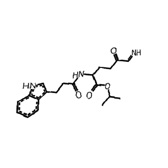 CC(C)OC(=O)C(CCC(=O)C=N)NC(=O)CCc1c[nH]c2ccccc12